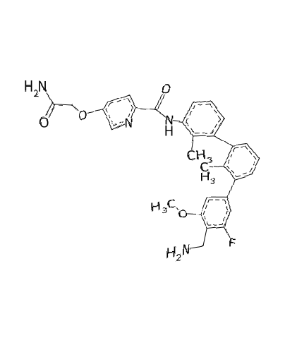 COc1cc(-c2cccc(-c3cccc(NC(=O)c4ccc(OCC(N)=O)cn4)c3C)c2C)cc(F)c1CN